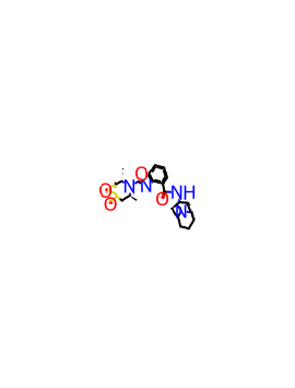 C[C@H]1CS(=O)(=O)C[C@H](C)N1c1nc2c(C(=O)NC3CC4CCCC(C3)N4C)cccc2o1